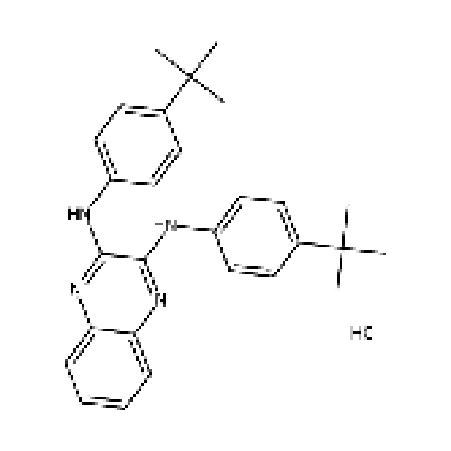 CC(C)(C)c1ccc(Nc2nc3ccccc3nc2Nc2ccc(C(C)(C)C)cc2)cc1.Cl